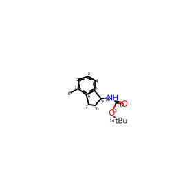 Cc1cccc2c1CCC2NC(=O)OC(C)(C)C